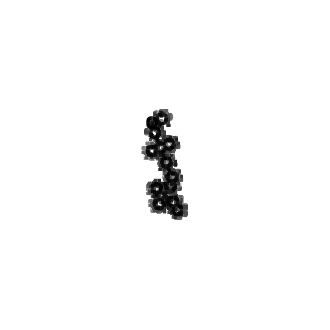 C1=Cc2c(oc3ccc(-c4c5ccccc5c(-c5ccc(-c6ccc7cc8c(cc7c6)C6(c7ccccc7-c7ccccc76)c6cc7ccccc7cc6-8)cc5)c5ccccc45)cc23)CC1